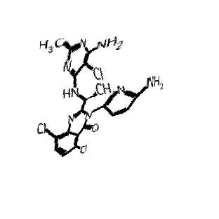 Cc1nc(N)c(Cl)c(N[C@@H](C)c2nc3c(Cl)ccc(Cl)c3c(=O)n2-c2ccc(N)nc2)n1